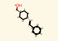 OC[C@H]1CC[C@H](C=Cc2ccccc2)CC1